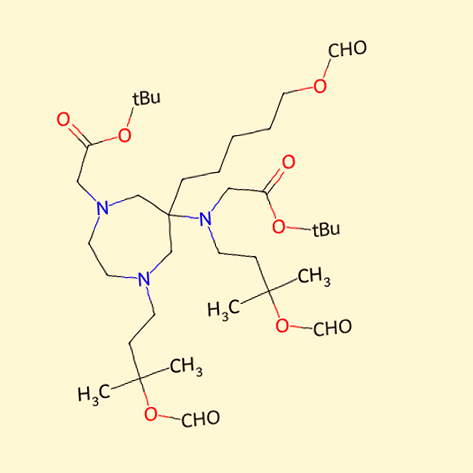 CC(C)(C)OC(=O)CN1CCN(CCC(C)(C)OC=O)CC(CCCCCOC=O)(N(CCC(C)(C)OC=O)CC(=O)OC(C)(C)C)C1